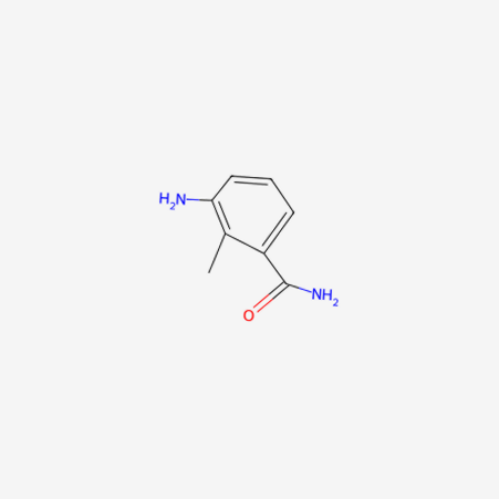 Cc1c(N)cccc1C(N)=O